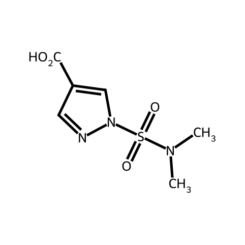 CN(C)S(=O)(=O)n1cc(C(=O)O)cn1